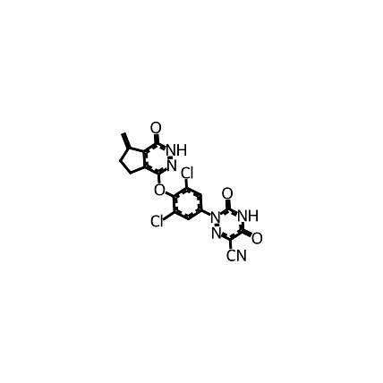 C=C1CCc2c(Oc3c(Cl)cc(-n4nc(C#N)c(=O)[nH]c4=O)cc3Cl)n[nH]c(=O)c21